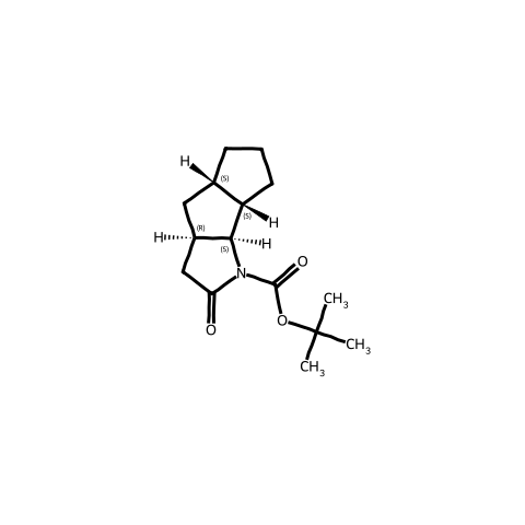 CC(C)(C)OC(=O)N1C(=O)C[C@H]2C[C@@H]3CCC[C@@H]3[C@H]21